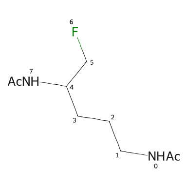 CC(=O)NCCCC(CF)NC(C)=O